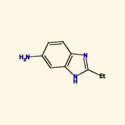 CCc1nc2ccc(N)cc2[nH]1